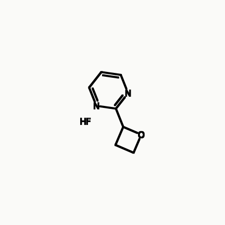 F.c1cnc(C2CCO2)nc1